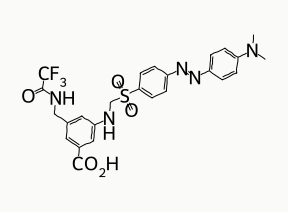 CN(C)c1ccc(/N=N/c2ccc(S(=O)(=O)CNc3cc(CNC(=O)C(F)(F)F)cc(C(=O)O)c3)cc2)cc1